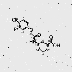 O=C(COc1ccc(Cl)c(F)c1)NC1CCCN(C(=O)O)C1